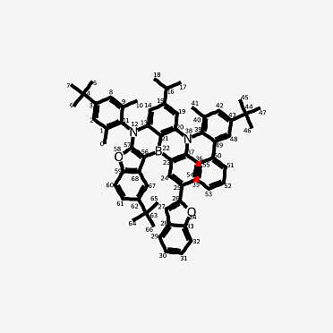 Cc1cc(C(C)(C)C)cc(C)c1N1c2cc(C(C)C)cc3c2B(c2cc(-c4cc5ccccc5o4)ccc2N3c2c(C)cc(C(C)(C)C)cc2-c2ccccc2)c2c1oc1ccc(C(C)(C)C)cc21